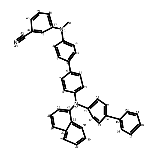 CN(c1ccc(-c2ccc(N(c3ccc(-c4ccccc4)cc3)c3cccc4ccccc34)cc2)cc1)c1cccc(C#N)c1